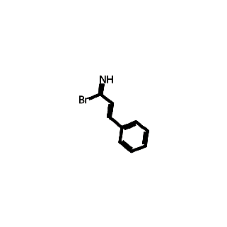 N=C(Br)C=Cc1ccccc1